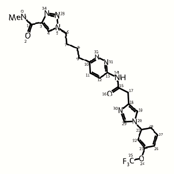 CNC(=O)c1cn(CCCCc2ccc(NC(=O)Cc3cn(C4C=C(OC(F)(F)F)C=CC4)cn3)nn2)nn1